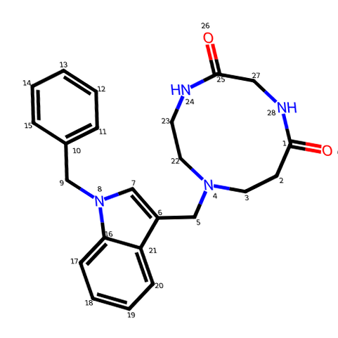 O=C1CCN(Cc2cn(Cc3ccccc3)c3ccccc23)CCNC(=O)CN1